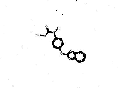 CCN(C(=O)OC(C)(C)C)c1ccc(Oc2nc3ccccc3s2)cc1